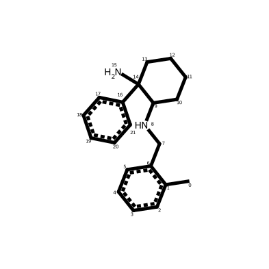 Cc1ccccc1CNC1CCCCC1(N)c1ccccc1